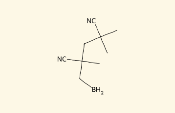 BCC(C)(C#N)CC(C)(C)C#N